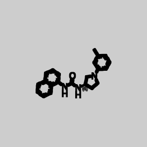 Cc1cccc(N2CC[C@@H](NC(=O)Nc3cccc4ccccc34)C2)c1